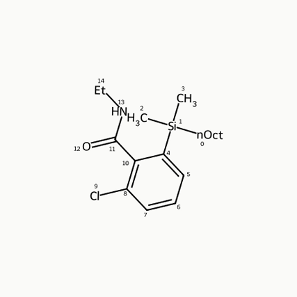 CCCCCCCC[Si](C)(C)c1cccc(Cl)c1C(=O)NCC